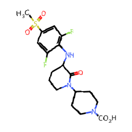 CS(=O)(=O)c1cc(F)c(NC2CCCN(C3CCN(C(=O)O)CC3)C2=O)c(F)c1